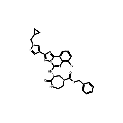 O=C1NCCN(C(=O)OCc2ccccc2)C[C@H]1Nc1nc2c(Br)cccc2c2nc(-c3cnn(CC4CC4)c3)nn12